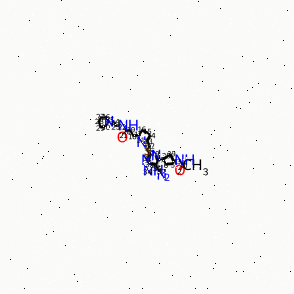 CC(=O)Nc1ccc(-c2nc(SCc3cccc(CCC(=O)NCCN4CCCCC4)n3)nc(N)c2C#N)cc1